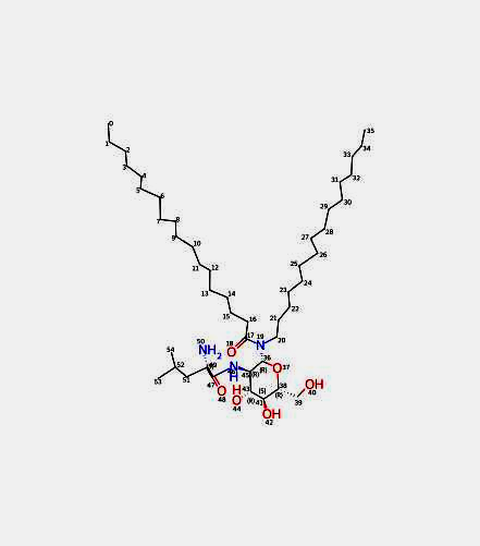 CCCCCCCCCCCCCCCCCC(=O)N(CCCCCCCCCCCCCCCC)[C@@H]1O[C@H](CO)[C@@H](O)[C@H](O)[C@H]1NC(=O)[C@@H](N)CC(C)C